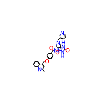 Cc1cc(COc2ccc(C(=O)NC3CN(Cc4cccnc4)CC34NC(=O)NC4=O)cc2)c2ccccc2n1